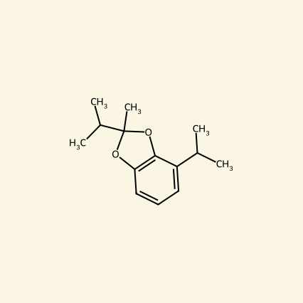 CC(C)c1cccc2c1OC(C)(C(C)C)O2